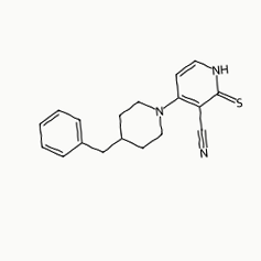 N#Cc1c(N2CCC(Cc3ccccc3)CC2)cc[nH]c1=S